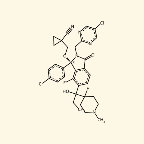 CCC(O)(c1ccc2c(c1F)[C@](OCC1(C#N)CC1)(c1ccc(Cl)cc1)N(Cc1ncc(Cl)cn1)C2=O)C1(F)CCN(C)CC1